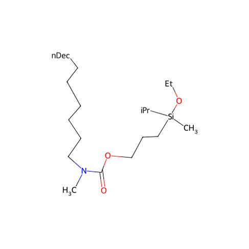 CCCCCCCCCCCCCCCCN(C)C(=O)OCCC[Si](C)(OCC)C(C)C